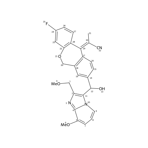 COCc1nc2c(OC)cccn2c1C(O)c1ccc2c(c1)COc1cc(F)ccc1/C2=C(\C)C#N